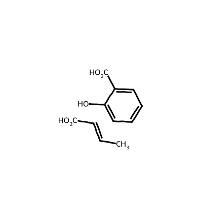 CC=CC(=O)O.O=C(O)c1ccccc1O